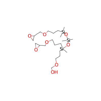 C[Si](C)(CCCOCC1CO1)O[Si](C)(C)O[Si](C)(CCCOCO)CCCOCC1CO1